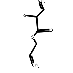 C=CCSC(=O)C([S])C=C